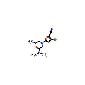 CCCN(CC(=O)N(C)C)c1cc(Br)c(C#N)s1